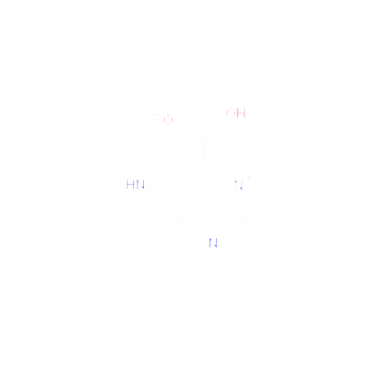 O=C(O)c1ncnc2cc[nH]c12